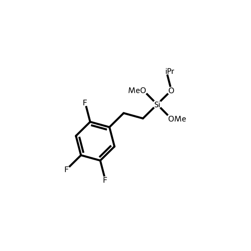 CO[Si](CCc1cc(F)c(F)cc1F)(OC)OC(C)C